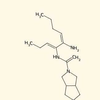 C=C(NC(=C\CC)/C(N)=C\CCC)N1CC2CCCC2C1